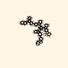 CC1(C)c2ccccc2-c2cc3c4ccccc4n(-c4cc(-n5c6ccccc6c6cc(-c7ccc8c(c7)c7ccccc7n8-c7ccc8ccccc8c7)ccc65)nc(-n5c6ccccc6c6cc(-c7ccc8oc9ccccc9c8c7)ccc65)n4)c3cc21